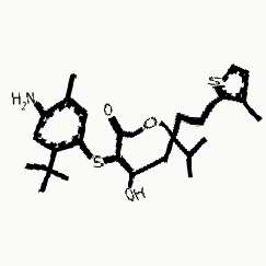 Cc1cc(SC2=C(O)CC(CCc3sccc3C)(C(C)C)OC2=O)c(C(C)(C)C)cc1N